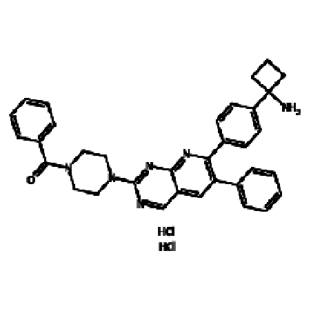 Cl.Cl.NC1(c2ccc(-c3nc4nc(N5CCN(C(=O)c6ccccc6)CC5)ncc4cc3-c3ccccc3)cc2)CCC1